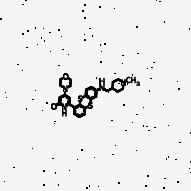 CN1CCC(CNc2ccc3c(c2)Sc2cccc(-c4cc(N5CCOCC5)cc(=O)[nH]4)c2S3)CC1